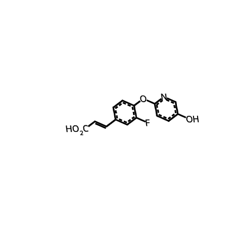 O=C(O)/C=C/c1ccc(Oc2ccc(O)cn2)c(F)c1